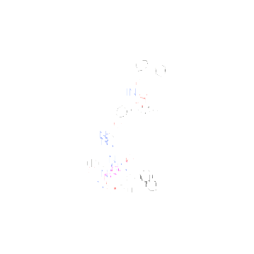 COC(=O)C(Cc1ccc(OCc2cn([C@H]3C[C@@H](C(=O)NC(Cc4ccc5ccccc5c4)C(=O)O)N(C(=O)C(NC(=O)C(C)N(C)C(=O)OC(C)(C)C)C(C)(C)C)C3)nn2)cc1)NC(=O)OCC1c2ccccc2-c2ccccc21